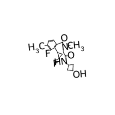 Cc1ccc(C(=O)N(C)CC(=O)NC2CC(O)C2)c(C2C[C@H]2F)c1F